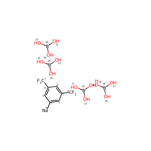 FC(F)(F)c1c[c]([Na])cc(C(F)(F)F)c1.OB(O)O.OB(O)O.OB(O)O.OB(O)O